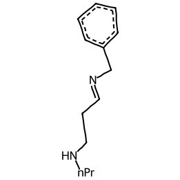 CCCNCCC=NCc1ccccc1